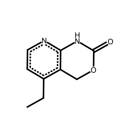 CCc1ccnc2c1COC(=O)N2